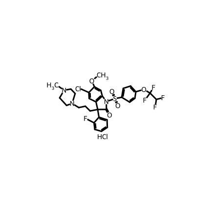 COc1cc2c(cc1Cl)C(CCCN1CCN(C)CC1)(c1ccccc1F)C(=O)N2S(=O)(=O)c1ccc(OC(F)(F)C(F)F)cc1.Cl